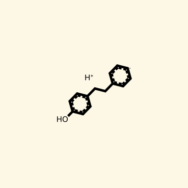 Oc1ccc(CCc2cc[c]cc2)cc1.[H+]